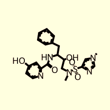 CN(CC(O)C(Cc1ccccc1)NC(=O)c1cc(O)ccn1)S(=O)(=O)c1cn(C)cn1